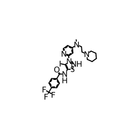 CN(CCN1CCCCC1)c1ccnc(N2NSC(NC(=O)c3ccc(C(F)(F)F)cc3)=C2I)c1